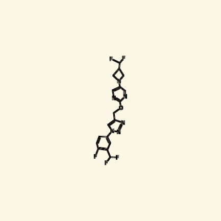 Fc1ccc(-n2cc(COc3ncc(N4CC(C(F)F)C4)cn3)nn2)cc1C(F)F